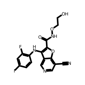 N#Cc1cncc2c(Nc3ccc(I)cc3F)c(C(=O)NOCCO)oc12